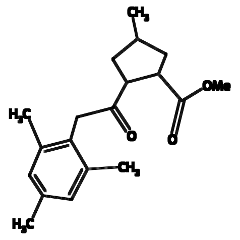 COC(=O)C1CC(C)CC1C(=O)Cc1c(C)cc(C)cc1C